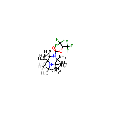 BC1(B)N(C(=O)OC(C(F)(F)F)C(F)(F)F)C(B)(B)C(B)(B)N(C(C)(C)C)C1(B)B